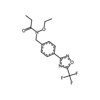 CCON(Cc1ccc(-c2noc(C(F)(F)F)n2)cc1)C(=O)CC